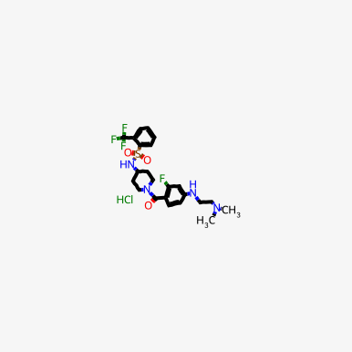 CN(C)CCNc1ccc(C(=O)N2CCC(NS(=O)(=O)c3ccccc3C(F)(F)F)CC2)c(F)c1.Cl